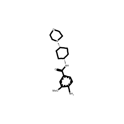 COc1cc(C(=O)N[C@H]2CC[C@@H](N3CCOCC3)CC2)ccc1N